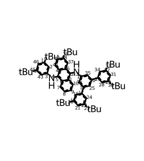 CC(C)(C)c1cc(Nc2c3ccccc3c(Nc3cc(-c4cc(C(C)(C)C)cc(C(C)(C)C)c4)cc(-c4cc(C(C)(C)C)cc(C(C)(C)C)c4)c3)c3cc(C(C)(C)C)ccc23)cc(C(C)(C)C)c1